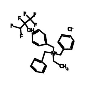 CC[N+](Cc1ccccc1)(Cc1ccccc1)Cc1ccccc1.OC(F)(C(F)F)C(F)(F)F.[Cl-]